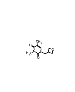 Cc1cn(CC2COC2)c(=O)n(C)c1=O